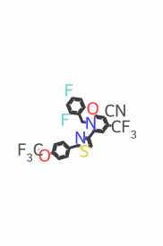 N#Cc1c(C(F)(F)F)cc(-c2csc(-c3ccc(OC(F)(F)F)cc3)n2)n(Cc2ccc(F)cc2F)c1=O